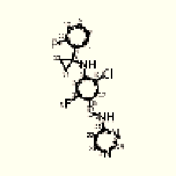 Fc1cc(NC2(c3ccccc3F)CC2)c(Cl)cc1SNc1ccncn1